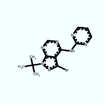 CC(C)(C)n1nc(Br)c2c(Nc3ncccn3)ncnc21